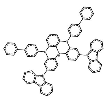 c1ccc(-c2ccc(N3c4cc(-n5c6ccccc6c6ccccc65)ccc4[SH]4c5ccc(-n6c7ccccc7c7ccccc76)cc5N(c5ccc(-c6ccccc6)cc5)c5cccc3c54)cc2)cc1